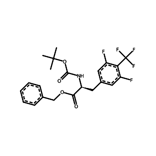 CC(C)(C)OC(=O)N[C@@H](Cc1cc(F)c(C(F)(F)F)c(F)c1)C(=O)OCc1ccccc1